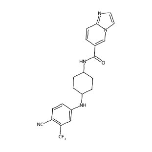 N#Cc1ccc(NC2CCC(NC(=O)c3ccc4nccn4c3)CC2)cc1C(F)(F)F